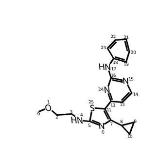 COCCNc1nc(C2CC2)c(-c2ccnc(Nc3ccccc3)n2)s1